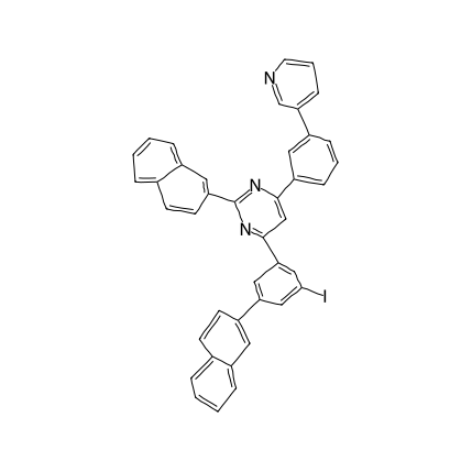 Ic1cc(-c2ccc3ccccc3c2)cc(-c2cc(-c3cccc(-c4cccnc4)c3)nc(-c3ccc4ccccc4c3)n2)c1